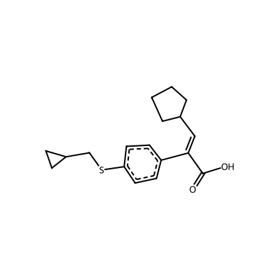 O=C(O)/C(=C/C1CCCC1)c1ccc(SCC2CC2)cc1